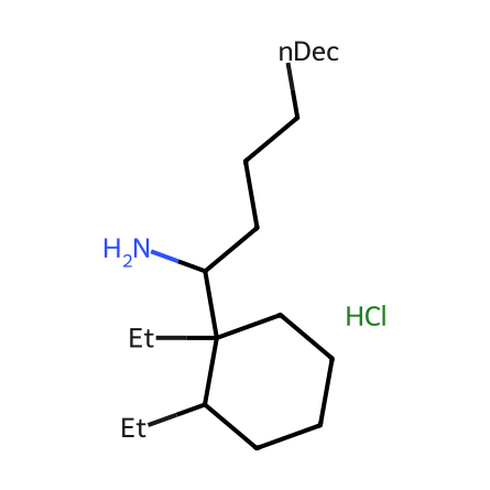 CCCCCCCCCCCCCC(N)C1(CC)CCCCC1CC.Cl